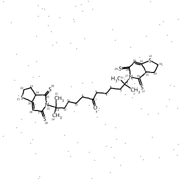 CC(C)(CCCCC(=O)CCCCC(C)(C)N1C(=S)C=C2SCCC2C1=S)N1C(=S)C=C2SCCC2C1=S